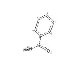 CNC(=O)c1cc[c]cc1